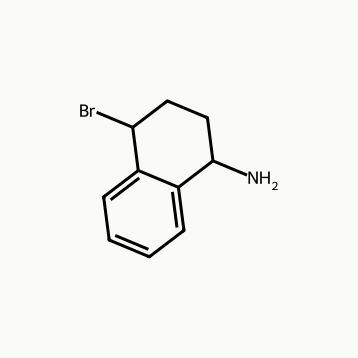 NC1CCC(Br)c2ccccc21